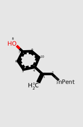 C=C(CCCCCC)c1ccc(O)cc1